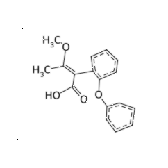 COC(C)=C(C(=O)O)c1ccccc1Oc1ccccc1